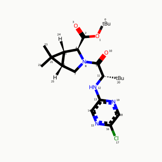 CC(C)(C)OC(=O)[C@@H]1[C@@H]2[C@H](CN1C(=O)[C@@H](Nc1cnc(Cl)cn1)C(C)(C)C)C2(C)C